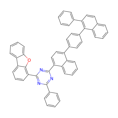 c1ccc(-c2nc(-c3ccc(-c4ccc(-c5c(-c6ccccc6)ccc6ccccc56)cc4)c4ccccc34)nc(-c3cccc4c3oc3ccccc34)n2)cc1